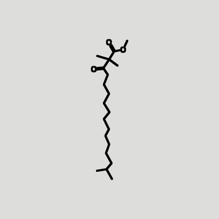 COC(=O)C(C)(C)C(=O)CCCCCCCCCCCC(C)C